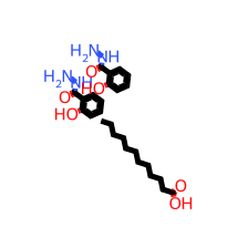 CCCCCCCCCCCC(=O)O.NNC(=O)c1ccccc1O.NNC(=O)c1ccccc1O